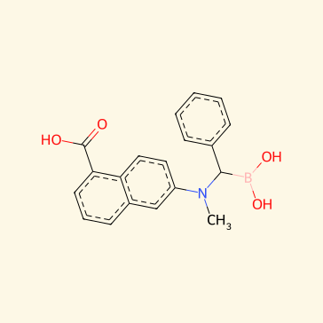 CN(c1ccc2c(C(=O)O)cccc2c1)C(B(O)O)c1ccccc1